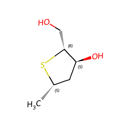 C[C@H]1C[C@H](O)[C@@H](CO)S1